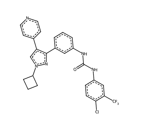 O=C(Nc1cccc(-c2nn(C3CCC3)cc2-c2ccncc2)c1)Nc1ccc(Cl)c(C(F)(F)F)c1